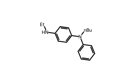 CCCCN(c1ccccc1)c1ccc(NCC)cc1